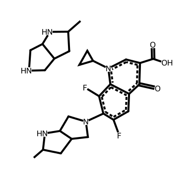 CC1CC2CN(c3c(F)cc4c(=O)c(C(=O)O)cn(C5CC5)c4c3F)CC2N1.CC1CC2CNCC2N1